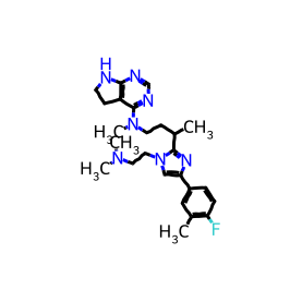 Cc1cc(-c2cn(CCN(C)C)c(C(C)CCN(C)c3ncnc4c3CCN4)n2)ccc1F